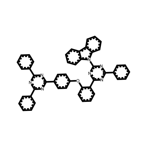 c1ccc(-c2nc(-c3ccccc3)nc(-c3ccc(Oc4ccccc4-c4nc(-c5ccccc5)nc(-n5c6ccccc6c6ccccc65)n4)cc3)n2)cc1